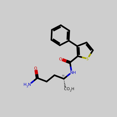 NC(=O)CC[C@H](NC(=O)c1sccc1-c1ccccc1)C(=O)O